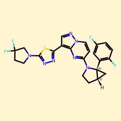 Fc1ccc(F)c([C@@]23C[C@@H]2CCN3c2ccn3ncc(-c4nnc(N5CCC(F)(F)C5)s4)c3n2)c1